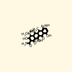 CC(=O)Nc1ccc(O)c2c1C(C)C1C(=C(O)C3(O)C(=O)C(C(N)=O)=C(O)C(N(C)C)C3C1O)C2=O